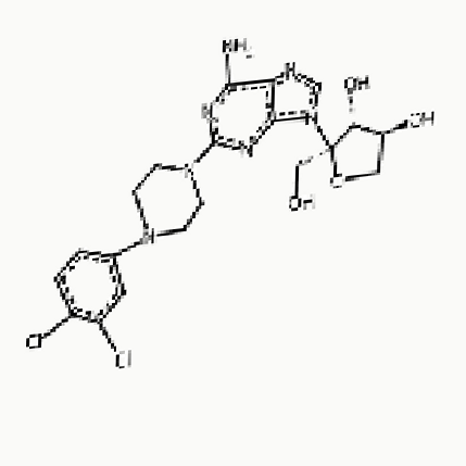 Nc1nc(N2CCN(c3ccc(Cl)c(Cl)c3)CC2)nc2c1ncn2[C@]1(CO)OC[C@H](O)[C@H]1O